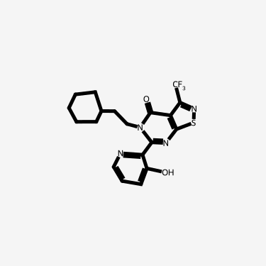 O=c1c2c(C(F)(F)F)nsc2nc(-c2ncccc2O)n1CCC1CCCCC1